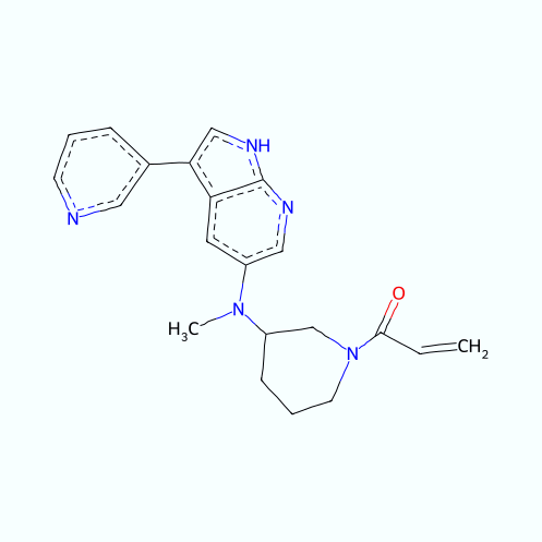 C=CC(=O)N1CCCC(N(C)c2cnc3[nH]cc(-c4cccnc4)c3c2)C1